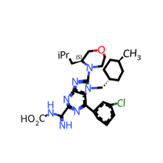 CC(C)C[C@H]1COCCN1c1nc2nc(C(=N)NC(=O)O)nc(-c3cccc(Cl)c3)c2n1C[C@H]1CC[C@H](C)CC1